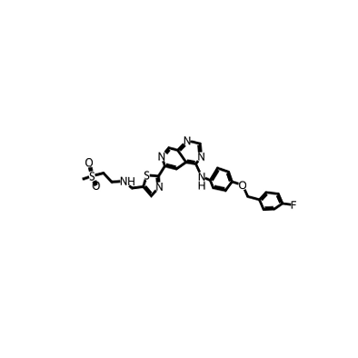 CS(=O)(=O)CCNCc1cnc(-c2cc3c(Nc4ccc(OCc5ccc(F)cc5)cc4)ncnc3cn2)s1